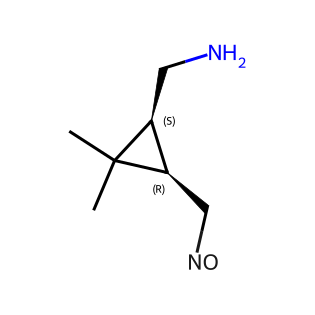 CC1(C)[C@H](CN=O)[C@@H]1CN